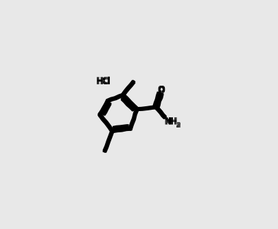 Cc1ccc(C)c(C(N)=O)c1.Cl